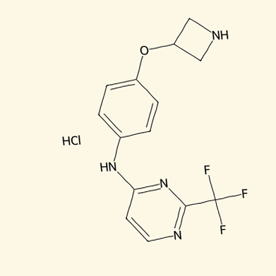 Cl.FC(F)(F)c1nccc(Nc2ccc(OC3CNC3)cc2)n1